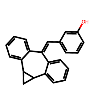 Oc1cccc(C=C2c3ccccc3C3CC3c3ccccc32)c1